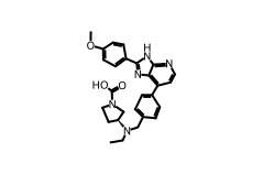 CCN(Cc1ccc(-c2ccnc3[nH]c(-c4ccc(OC)cc4)nc23)cc1)[C@H]1CCN(C(=O)O)C1